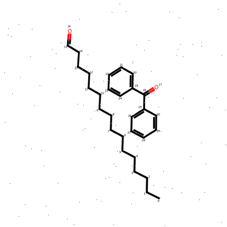 CCCCCCCCCCCCCCCC=O.O=C(c1ccccc1)c1ccccc1